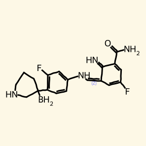 BC1(c2ccc(N/C=C3/C=C(F)C=C(C(N)=O)C3=N)cc2F)CCCNC1